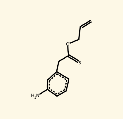 C=CCOC(=S)Cc1cccc(N)c1